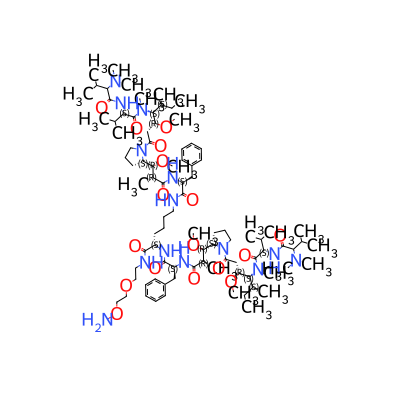 CC[C@H](C)[C@@H]([C@@H](CC(=O)N1CCC[C@H]1[C@H](OC)[C@@H](C)C(=O)N[C@@H](Cc1ccccc1)C(=O)NCCCC[C@H](NC(=O)[C@H](Cc1ccccc1)NC(=O)[C@H](C)[C@@H](OC)[C@@H]1CCCN1C(=O)C[C@@H](OC)[C@H]([C@@H](C)CC)N(C)C(=O)[C@@H](NC(=O)C(C(C)C)N(C)C)C(C)C)C(=O)NCCOCCON)OC)N(C)C(=O)[C@@H](NC(=O)C(C(C)C)N(C)C)C(C)C